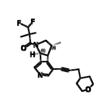 C[C@H]1CN(C(=O)C(C)(C)C(F)F)[C@@H]2c3cncc(C#CCC4CCOCC4)c3C21